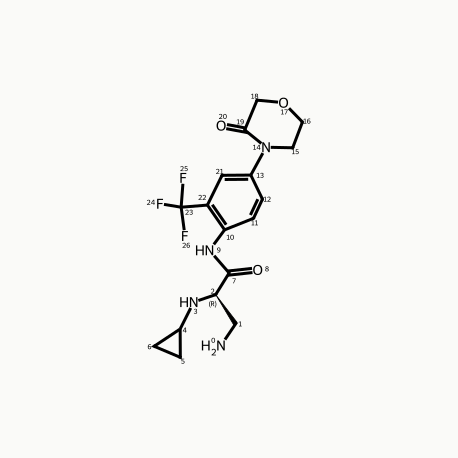 NC[C@@H](NC1CC1)C(=O)Nc1ccc(N2CCOCC2=O)cc1C(F)(F)F